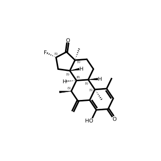 C=C1C2=C(O)C(=O)C=C(C)[C@]2(C)[C@H]2CC[C@]3(C)C(=O)[C@@H](F)C[C@H]3[C@@H]2[C@@H]1C